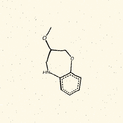 COC1CNc2ccccc2OC1